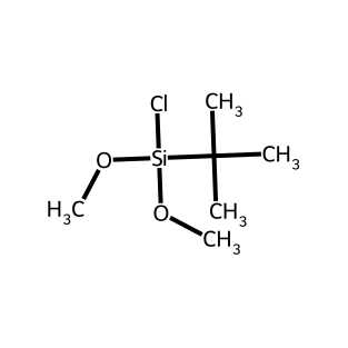 CO[Si](Cl)(OC)C(C)(C)C